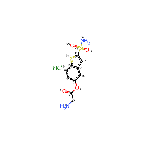 Cl.NCC(=O)Oc1ccc2sc(S(N)(=O)=O)cc2c1